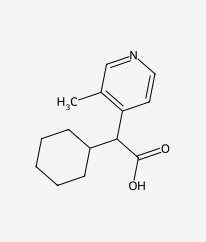 Cc1cnccc1C(C(=O)O)C1CCCCC1